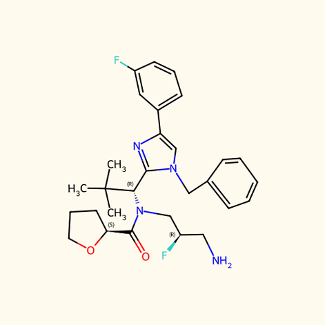 CC(C)(C)[C@H](c1nc(-c2cccc(F)c2)cn1Cc1ccccc1)N(C[C@H](F)CN)C(=O)[C@@H]1CCCO1